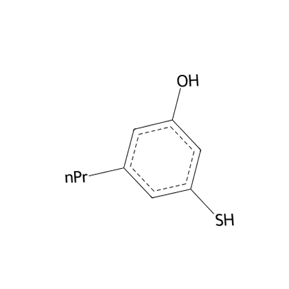 CCCc1cc(O)cc(S)c1